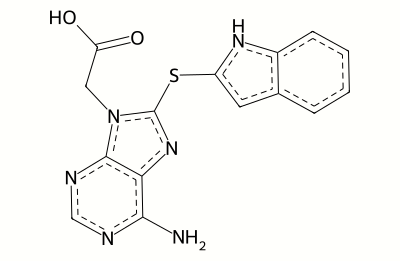 Nc1ncnc2c1nc(Sc1cc3ccccc3[nH]1)n2CC(=O)O